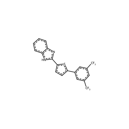 FC(F)(F)c1cc(-c2ccc(-c3nc4ccccc4[nH]3)s2)cc(C(F)(F)F)c1